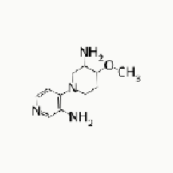 COC1CCN(c2ccncc2N)CC1N